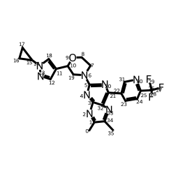 Cc1nc2nc(N3CCOC(c4cnn(C5CC5)c4)C3)nc(-c3ccc(C(F)(F)F)nc3)c2nc1C